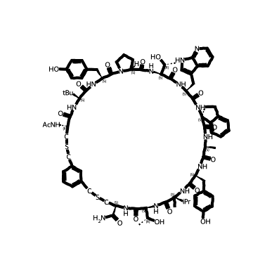 CC(=O)N[C@H]1CSCc2cccc(c2)CSC[C@H](C(N)=O)NC(=O)[C@H]([C@@H](C)O)NC(=O)[C@](C)(C(C)C)NC(=O)[C@H](Cc2ccc(O)cc2)NC(=O)[C@H](C)NC(=O)[C@@]2(CCc3ccccc32)NC(=O)[C@H](Cc2c[nH]c3ncccc23)NC(=O)[C@H]([C@@H](C)O)NC(=O)[C@@H]2CCCN2C(=O)[C@H](Cc2ccc(O)cc2)NC(=O)[C@H](C(C)(C)C)NC1=O